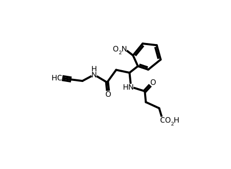 C#CCNC(=O)CC(NC(=O)CCC(=O)O)c1ccccc1[N+](=O)[O-]